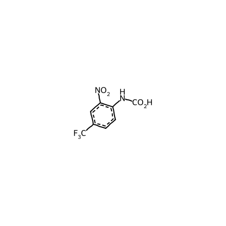 O=C(O)Nc1ccc(C(F)(F)F)cc1[N+](=O)[O-]